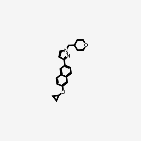 c1cc2cc(-c3ccn(CC4CCOCC4)n3)ccc2cc1OC1CC1